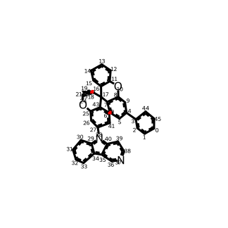 c1ccc(-c2ccc3c(c2)Oc2ccccc2C32c3ccccc3Oc3cc(-n4c5ccccc5c5cnccc54)ccc32)cc1